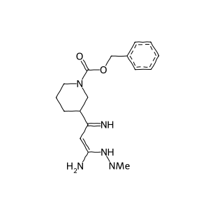 CNN/C(N)=C\C(=N)C1CCCN(C(=O)OCc2ccccc2)C1